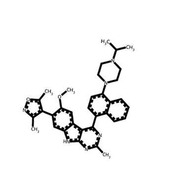 COc1cc2c(cc1-c1c(C)noc1C)[nH]c1nc(C)nc(-c3ccc(N4CCN(C(C)C)CC4)c4ccccc34)c12